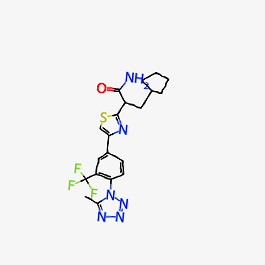 Cc1nnnn1-c1ccc(-c2csc(C(CC3CCCC3)C(N)=O)n2)cc1C(F)(F)F